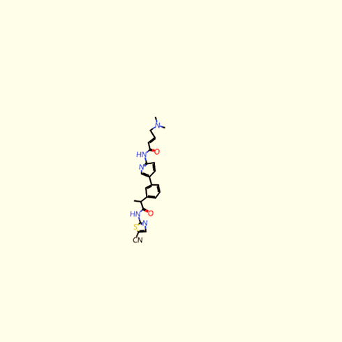 CC(C(=O)Nc1ncc(C#N)s1)c1cccc(-c2ccc(NC(=O)/C=C/CN(C)C)nc2)c1